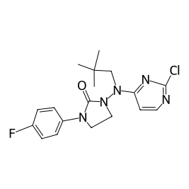 CC(C)(C)CN(c1ccnc(Cl)n1)N1CCN(c2ccc(F)cc2)C1=O